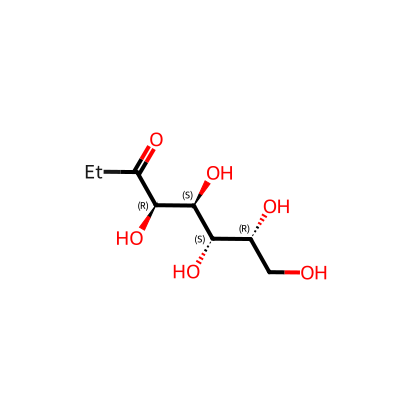 CCC(=O)[C@H](O)[C@@H](O)[C@@H](O)[C@H](O)CO